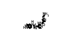 NCCn1cc(C(=O)Nc2cc(-c3nnc(Nc4ccc5[nH]ncc5c4)s3)ccn2)cn1